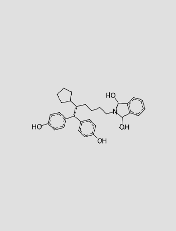 Oc1ccc(C(=C(CCCCN2C(O)c3ccccc3C2O)C2CCCC2)c2ccc(O)cc2)cc1